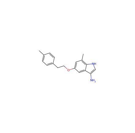 Cc1ccc(CCOc2cc(C)c3[nH]cc(N)c3c2)cc1